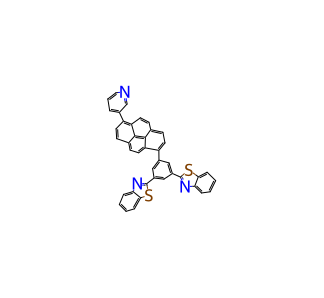 c1cncc(-c2ccc3ccc4c(-c5cc(-c6nc7ccccc7s6)cc(-c6nc7ccccc7s6)c5)ccc5ccc2c3c54)c1